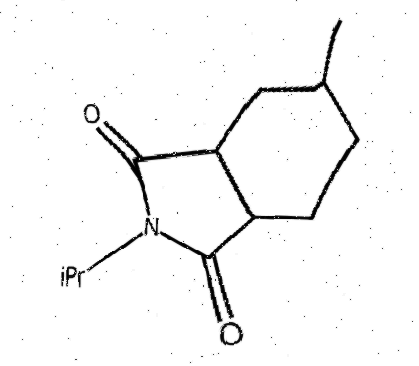 CC1CCC2C(=O)N(C(C)C)C(=O)C2C1